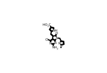 Cn1ccc(CN2C(=O)C(=Cc3cc(C(=O)O)c[nH]3)c3c(Cl)nc(N)nc32)n1